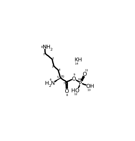 NCCCC[C@H](N)C(=O)OP(=O)(O)O.[KH]